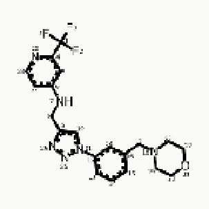 FC(F)(F)c1cc(NCc2cn(-c3cccc(CN4CCOCC4)c3)nn2)ccn1